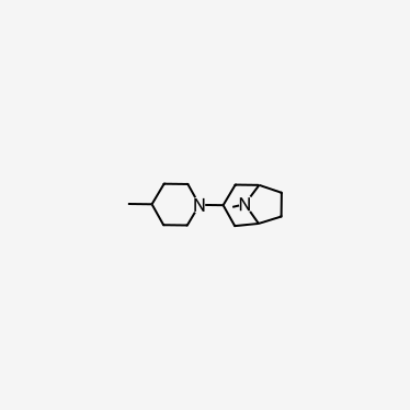 CC1CCN(C2CC3CCC(C2)N3C)CC1